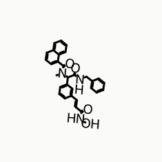 CN(C(=O)c1cccc2ccccc12)C(C(=O)NCc1ccccc1)c1cccc(/C=C/C(=O)NO)c1